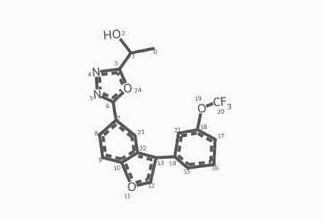 CC(O)c1nnc(-c2ccc3occ(-c4cccc(OC(F)(F)F)c4)c3c2)o1